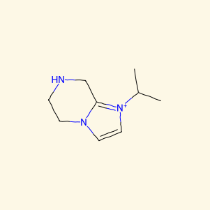 CC(C)[n+]1ccn2c1CNCC2